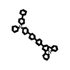 c1ccc(-c2ccc(N(c3ccccc3)c3ccc(-c4ccc(-c5ccc(-c6cc7c8ccccc8n8c9ccccc9c(c6)c78)cc5)cc4)cc3)cc2)cc1